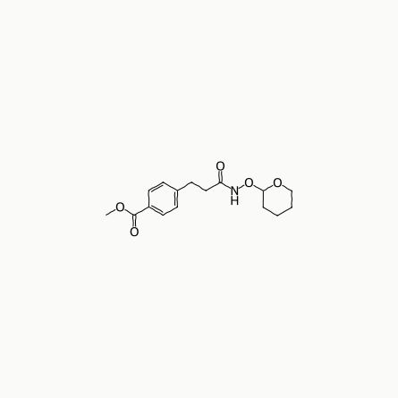 COC(=O)c1ccc(CCC(=O)NOC2CCCCO2)cc1